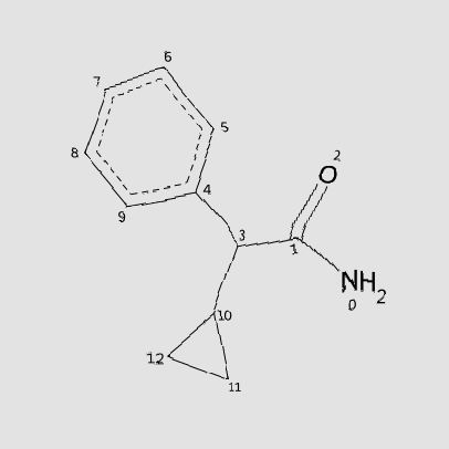 NC(=O)C(c1ccccc1)C1CC1